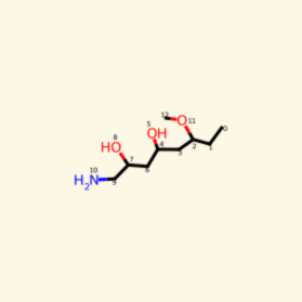 CCC(CC(O)CC(O)CN)OC